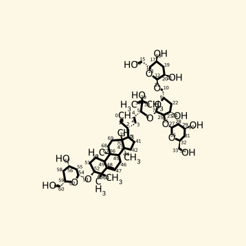 C=C[C@H](CC[C@@H](O[C@@H]1O[C@H](CO[C@H]2O[C@H](CO)[C@@H](O)C[C@H]2O)C[C@H](O)C1O[C@H]1C[C@@H](O)C[C@@H](CO)O1)C(C)(C)O)C1CC[C@@]2(C)C3CC=C4C(CC[C@H](O[C@H]5C[C@@H](O)C[C@@H](CO)O5)C4(C)C)[C@]3(C)CC[C@]12C